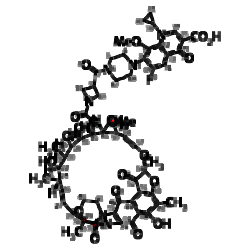 COc1c(N2CCN(C(=O)C3CN(C(=O)O[C@H]4[C@H](C)[C@H](O)[C@H](C)[C@@H](O)[C@@H](C)/C=C/C=C(/C)C(=O)NC5=C(N6CCOCC6)C(=O)c6c(c(O)c(C)c7c6C(=O)[C@@](C)(O/C=C/[C@H](OC)[C@H]4C)O7)C5=O)C3)CC2)c(F)cc2c(=O)c(C(=O)O)cn(C3CC3)c12